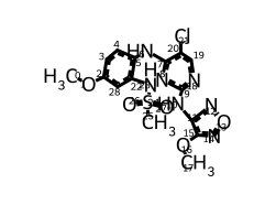 COc1ccc(Nc2nc(Nc3nonc3OC)ncc2Cl)c(NS(C)(=O)=O)c1